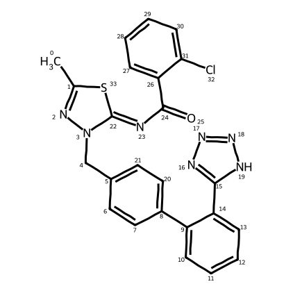 Cc1nn(Cc2ccc(-c3ccccc3-c3nnn[nH]3)cc2)c(=NC(=O)c2ccccc2Cl)s1